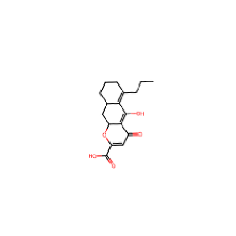 CCCC1=C2C(O)=C3C(=O)C=C(C(=O)O)OC3CC2CCC1